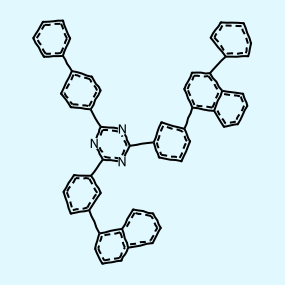 c1ccc(-c2ccc(-c3nc(-c4cccc(-c5cccc6ccccc56)c4)nc(-c4cccc(-c5ccc(-c6ccccc6)c6ccccc56)c4)n3)cc2)cc1